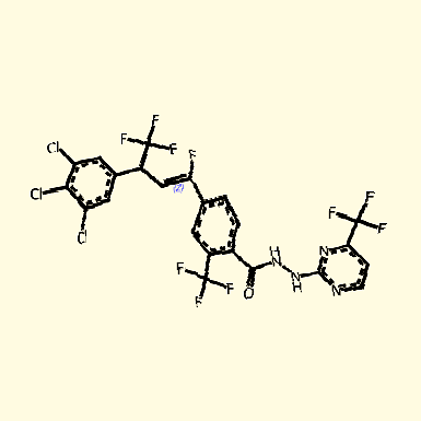 O=C(NNc1nccc(C(F)(F)F)n1)c1ccc(/C(F)=C/C(c2cc(Cl)c(Cl)c(Cl)c2)C(F)(F)F)cc1C(F)(F)F